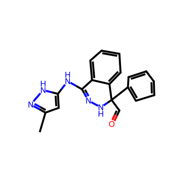 Cc1cc(NC2=NNC(C=O)(c3ccccc3)c3ccccc32)[nH]n1